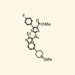 CCc1nc2ccc(C3CCN(SC)CC3)cn2c1N(C)c1nc(-c2ccc(F)cc2)c(C(=O)OC)s1